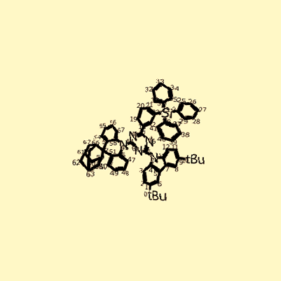 CC(C)(C)c1ccc2c(c1)c1cc(C(C)(C)C)ccc1n2-c1nc(-c2cccc([Si](c3ccccc3)(c3ccccc3)c3ccccc3)c2)nc(N2c3ccccc3C3(c4ccccc42)C2CC4CC(C2)CC3C4)n1